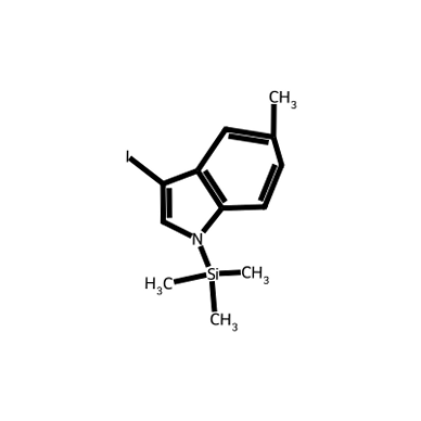 Cc1ccc2c(c1)c(I)cn2[Si](C)(C)C